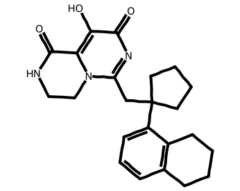 O=C1NCCn2c(CC3(c4cccc5c4CCCC5)CCCC3)nc(=O)c(O)c21